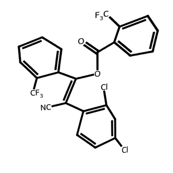 N#C/C(=C(/OC(=O)c1ccccc1C(F)(F)F)c1ccccc1C(F)(F)F)c1ccc(Cl)cc1Cl